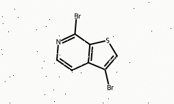 Brc1csc2c(Br)nccc12